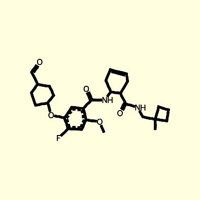 COc1cc(F)c(OC2CCC(C=O)CC2)cc1C(=O)NC1CC=CCC1C(=O)NCC1(C)CCC1